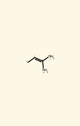 CC=C(N)N